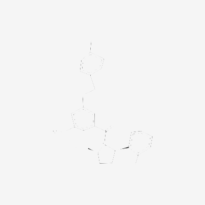 COc1cc(OCc2ccc(Cl)cc2)cc(C(=O)N2[C@@H](c3ccccc3Cl)CC[C@H]2C(=O)O)c1